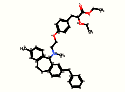 CCOC(=O)C(Cc1ccc(OCCN(C)C2c3ccc(C)cc3CCc3ccc(Cc4ccccc4)cc32)cc1)OCC